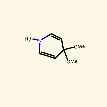 COC1(OC)C=CN(C)C=C1